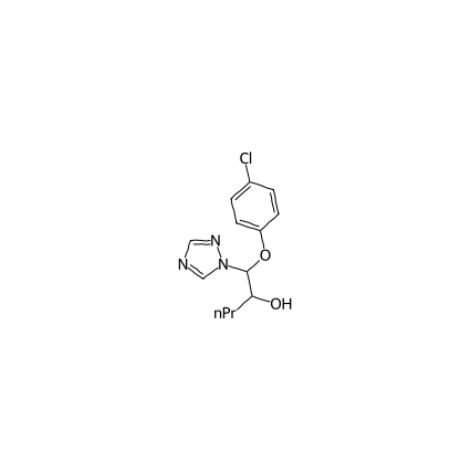 CCCC(O)C(Oc1ccc(Cl)cc1)n1cncn1